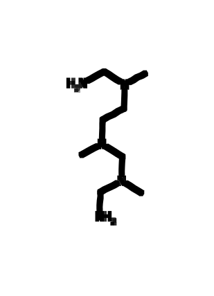 CN(CN)CCN(C)CN(C)CN